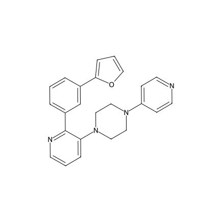 c1cc(-c2ccco2)cc(-c2ncccc2N2CCN(c3ccncc3)CC2)c1